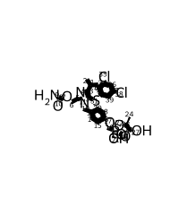 CC(C)c1nc(COC(N)=O)n(Cc2ccc(OCP(=O)(O)O[C@@H](C)C(=O)O)cc2)c1Sc1cc(Cl)cc(Cl)c1